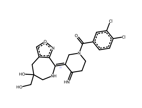 N=C1CCN(C(=O)c2ccc(Cl)c(Cl)c2)C/C1=C1/NCC(O)(CO)Cc2conc21